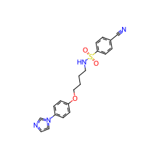 N#Cc1ccc(S(=O)(=O)NCCCCOc2ccc(-n3ccnc3)cc2)cc1